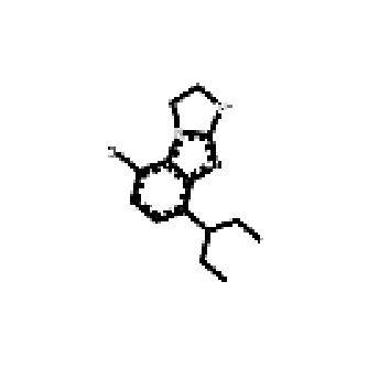 CCC(CC)c1ccc(Cl)c2c1nc1n2CCN1